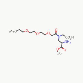 COCCOCCOCCOCC(=O)N(CC(=O)O)CC(N)C(=O)OC(C)(C)C